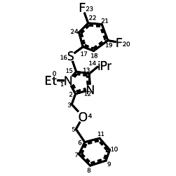 CCn1c(COCc2ccccc2)nc(C(C)C)c1Sc1cc(F)cc(F)c1